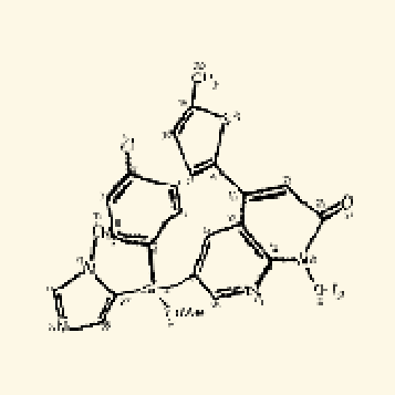 CO[Si@](c1ccc(Cl)cc1)(c1cnc2c(c1)c(-c1ccc(C)s1)cc(=O)n2C)c1cncn1C